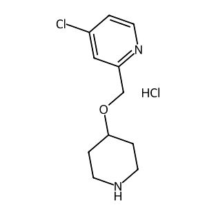 Cl.Clc1ccnc(COC2CCNCC2)c1